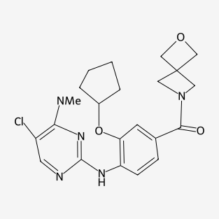 CNc1nc(Nc2ccc(C(=O)N3CC4(COC4)C3)cc2OC2CCCC2)ncc1Cl